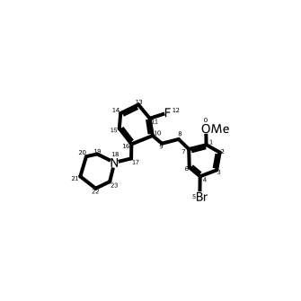 COc1ccc(Br)cc1CCc1c(F)cccc1CN1CCCCC1